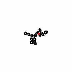 c1ccc(-c2ccc(-c3ccc(N(c4ccc(-c5ccc(-c6ccccc6-n6c7ccccc7c7ccc(-c8ccccc8)cc76)cc5)cc4)c4ccc5c(c4)C(c4ccccc4)(c4ccccc4)c4ccccc4-5)cc3)cc2)cc1